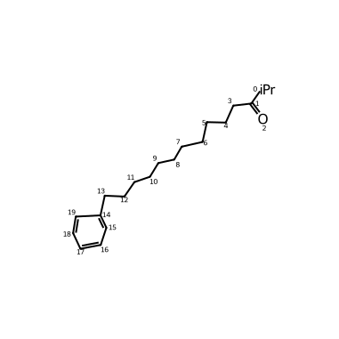 CC(C)C(=O)CCCCCCCCCCCc1ccccc1